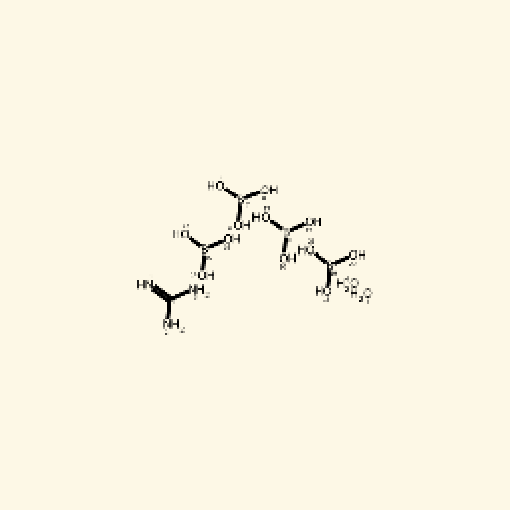 N=C(N)N.O.O.OB(O)O.OB(O)O.OB(O)O.OB(O)O